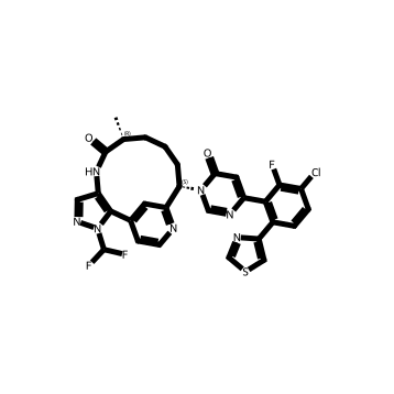 C[C@@H]1CCC[C@H](n2cnc(-c3c(-c4cscn4)ccc(Cl)c3F)cc2=O)c2cc(ccn2)-c2c(cnn2C(F)F)NC1=O